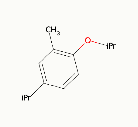 [CH2]C(C)Oc1ccc(C(C)C)cc1C